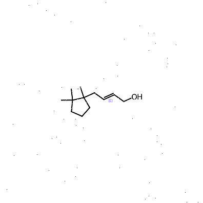 CC1(C)CCCC1(C)C/C=C/CO